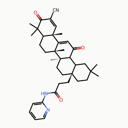 CC1(C)CC[C@]2(CCC(=O)Nc3ccccn3)CC[C@]3(C)C(C(=O)C=C4[C@@]5(C)C=C(C#N)C(=O)C(C)(C)C5CC[C@]43C)C2C1